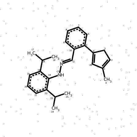 CC1=CCC(c2ccccc2/C=N/Nc2c(C(C)C)cccc2C(C)C)=C1